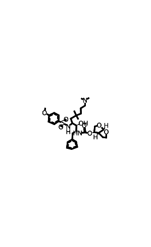 COc1ccc(S(=O)(=O)NC(CC(C)(C)CCCN(C)C)[C@H](O)[C@H](Cc2ccccc2)NC(=O)O[C@@H]2CO[C@@H]3OCC[C@@H]32)cc1